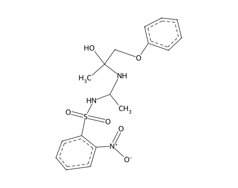 CC(NC(C)(O)COc1ccccc1)NS(=O)(=O)c1ccccc1[N+](=O)[O-]